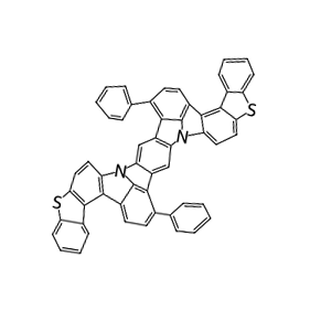 c1ccc(-c2ccc3c4c5c(ccc4n4c6cc7c8c(-c9ccccc9)ccc9c%10c%11c(ccc%10n(c7cc6c2c34)c98)sc2ccccc2%11)sc2ccccc25)cc1